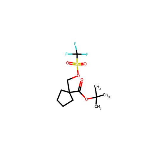 CC(C)(C)OC(=O)C1(COS(=O)(=O)C(F)(F)F)CCCC1